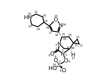 O=C1N2C[C@H](N1OS(=O)(=O)O)C1(CC1)C[C@H]2c1cc(C2CCNCC2)on1